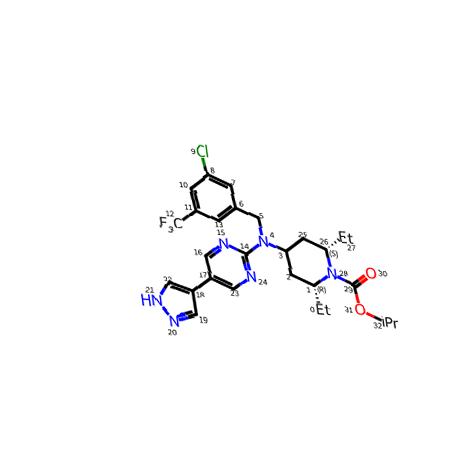 CC[C@@H]1CC(N(Cc2cc(Cl)cc(C(F)(F)F)c2)c2ncc(-c3cn[nH]c3)cn2)C[C@H](CC)N1C(=O)OC(C)C